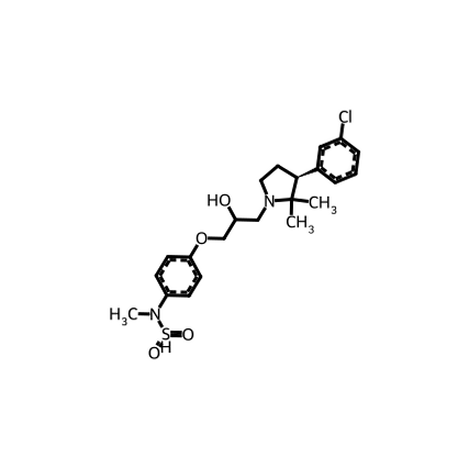 CN(c1ccc(OCC(O)CN2CC[C@@H](c3cccc(Cl)c3)C2(C)C)cc1)[SH](=O)=O